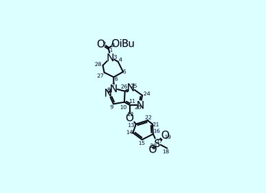 CC(C)COC(=O)N1CCC(n2ncc3c(Oc4ccc(S(C)(=O)=O)cc4)ncnc32)CC1